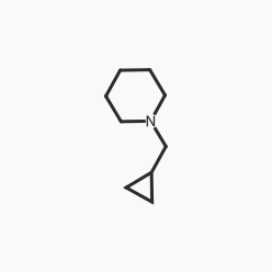 C1CCN(CC2CC2)CC1